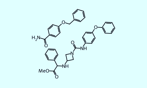 COC(=O)C(NC1CN(C(=O)Nc2ccc(Oc3ccccc3)cc2)C1)c1ccccc1.NC(=O)c1ccc(OCc2ccccc2)cc1